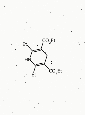 CCOC(=O)C1=C(CC)NC(CC)=C(C(=O)OCC)C1